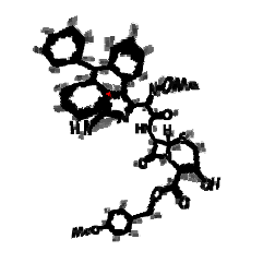 CO/N=C(\C(=O)N[C@@H]1C(=O)N2C(C(=O)OCc3ccc(OC)cc3)=C(O)CS[C@@H]12)c1nc(N)sc1-c1ccccc1C(c1ccccc1)c1ccccc1